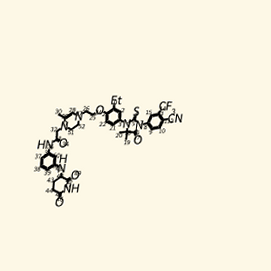 CCc1cc(N2C(=S)N(c3ccc(C#N)c(C(F)(F)F)c3)C(=O)C2(C)C)ccc1OCCN1C=C(C)N(CC(=O)Nc2cccc(NC3CCC(=O)NC3=O)c2)CC1